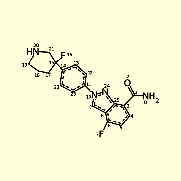 NC(=O)c1ccc(F)c2cn(-c3ccc(C4(F)CCCNC4)cc3)nc12